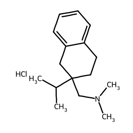 CC(C)C1(CN(C)C)CCc2ccccc2C1.Cl